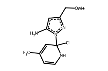 COCc1cc(N)n(C2(Cl)C=C(C(F)(F)F)C=CN2)n1